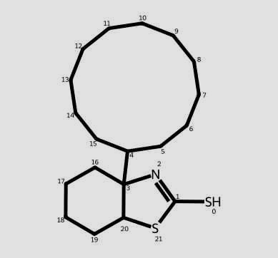 SC1=NC2(C3CCCCCCCCCCC3)CCCCC2S1